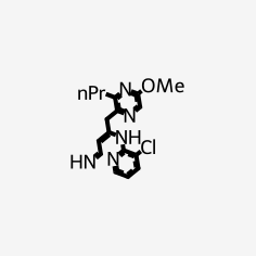 CCCc1nc(OC)cnc1C/C(=C/C=N)Nc1ncccc1Cl